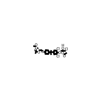 CC(=O)OC[C@H](COc1ccc(C(C)(C)c2cc(Cl)c(OC[C@](O)(CCl)OC(C)=O)c(Cl)c2)cc1)OC(C)=O